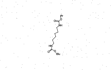 CC(C)OC(=O)NCCCCCCNC(=O)OC(C)(C)C